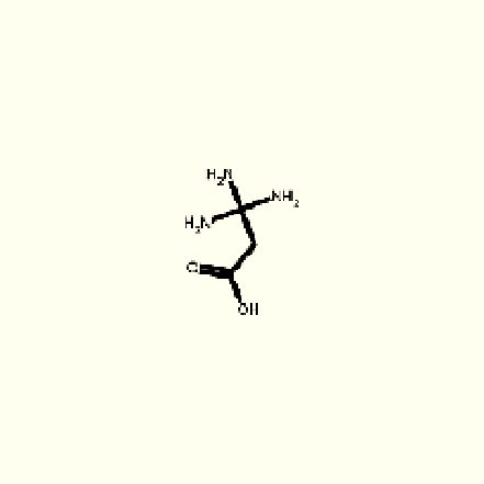 NC(N)(N)CC(=O)O